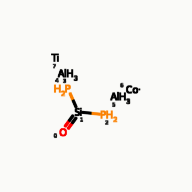 O=[Si](P)P.[AlH3].[AlH3].[Co].[Ti]